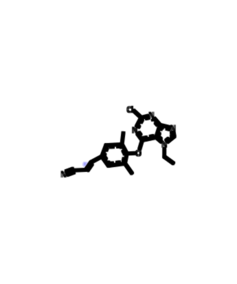 CCn1cnc2nc(Cl)nc(Oc3c(C)cc(/C=C/C#N)cc3C)c21